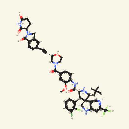 COc1cc(C(=O)N2CCO[C@@H](C#Cc3ccc4c(c3)CN(C3CCC(=O)NC3=O)C4=O)C2)ccc1NC(=O)[C@@H]1N[C@@H](CC(C)(C)C)[C@@]2(CNc3cc(C(F)(F)F)ncc32)[C@H]1c1cccc(Cl)c1F